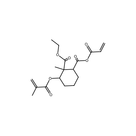 C=CC(=O)OC(=O)C1CCCC(OC(=O)C(=C)C)C1(C)C(=O)OCC